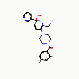 CCOC1(c2cccnc2)C=CC(N2CCN(C(=O)c3ccc(C(F)(F)F)cc3Cl)C[C@H]2CC)=C(CN)N1